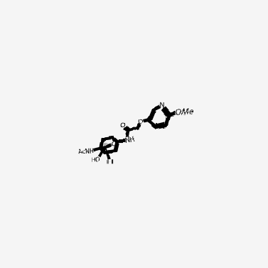 COc1ccc(OCC(=O)NC23CCC(NC(C)=O)(CC2)[C@@H](O)C3)cn1